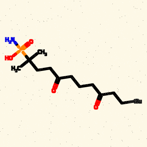 CC(C)(C)CCC(=O)CCCC(=O)CCC(C)(C)P(N)(=O)O